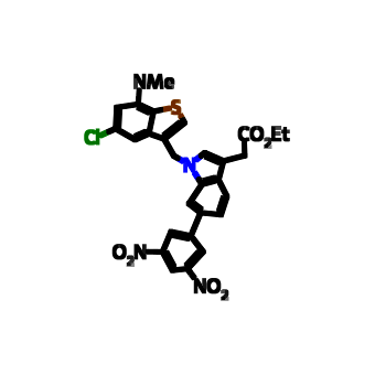 CCOC(=O)Cc1cn(Cc2csc3c(NC)cc(Cl)cc23)c2cc(-c3cc([N+](=O)[O-])cc([N+](=O)[O-])c3)ccc12